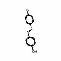 CCc1ccc(/N=N/c2ccc(O)cc2)cc1